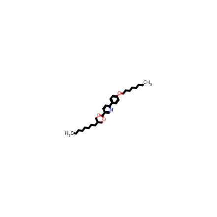 CCCCCCCCOc1ccc(-c2ccc(C3OCC(CCCCCCCC)CO3)cn2)cc1